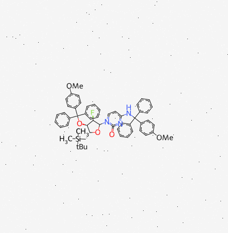 COc1ccc(C(Nc2ccn(C3O[C@H](C[Si](C)(C)C(C)(C)C)[C@@H](OC(c4ccccc4)(c4ccccc4)c4ccc(OC)cc4)[C@H]3F)c(=O)n2)(c2ccccc2)c2ccccc2)cc1